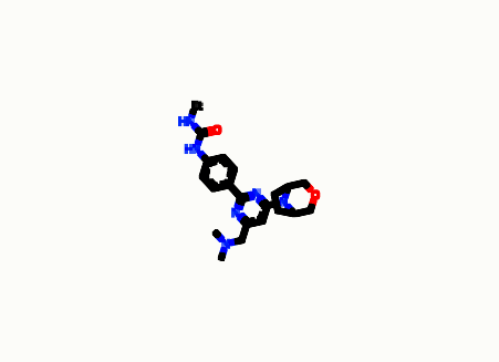 CCNC(=O)Nc1ccc(-c2nc(CN(C)C)cc(N3C4CCC3COC4)n2)cc1